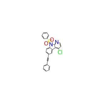 O=S(=O)(c1ccccc1)n1c2ccc(C#Cc3ccccc3)cc2c2c(Cl)ccnc21